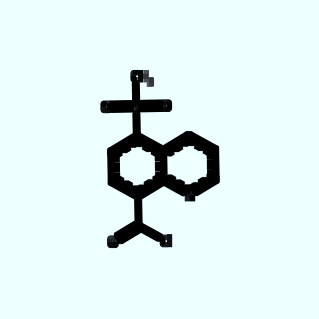 CS(=O)(=O)c1ccc(C(=O)Cl)c2ncccc12